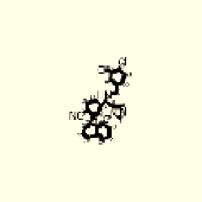 Cn1cncc1C(NCc1ccc(Cl)c(Cl)c1)c1ccc(C#N)c(-c2cccc3ccccc23)c1